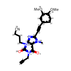 C#CCn1c(=O)c2c(nc(C#Cc3ccc(OC)c(OC)c3)n2C)n(CCCC#N)c1=O